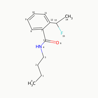 CCCCNC(=O)c1ccccc1C(C)F